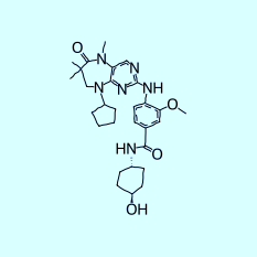 COc1cc(C(=O)N[C@H]2CC[C@H](O)CC2)ccc1Nc1ncc2c(n1)N(C1CCCC1)CC(C)(C)C(=O)N2C